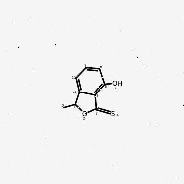 CC1OC(=S)c2c(O)cccc21